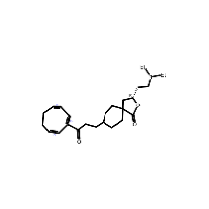 CCN(CC)CC[C@H]1CC2(CCC(CCC(=O)C3=C/C=C\CC/C=C\3)CC2)C(=O)O1